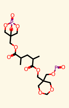 CC(CC(C)C(=O)OCC12COP(=O)(OC1)OC2)C(=O)OCC1(COP=O)COCOC1